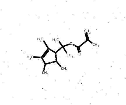 C=C(C)C(=O)OC(C)(C)C1C(C)=C(C)C(C)C1C